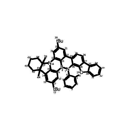 Cc1ccccc1N1B2c3cc(C(C)(C)C)cc4c3N(c3cc(C(C)(C)C)cc(c32)-c2ccc3c(oc5ccccc53)c21)C1(C)CCCCC41C